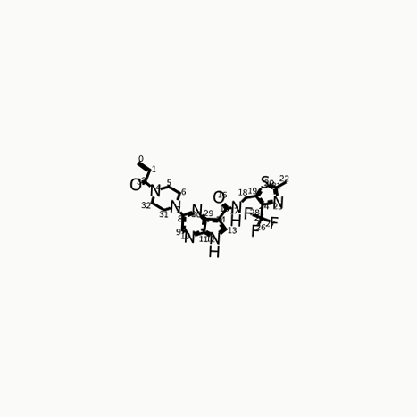 C=CC(=O)N1CCN(c2cnc3[nH]cc(C(=O)NCc4sc(C)nc4C(F)(F)F)c3n2)CC1